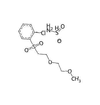 COCCOCCS(=O)(=O)c1ccccc1Cl.N[SH](=O)=O